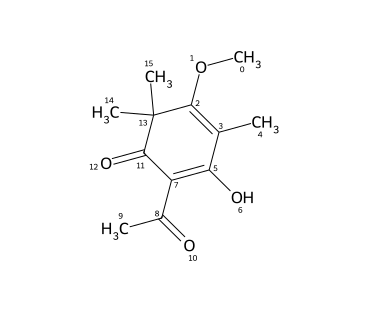 COC1=C(C)C(O)=C(C(C)=O)C(=O)C1(C)C